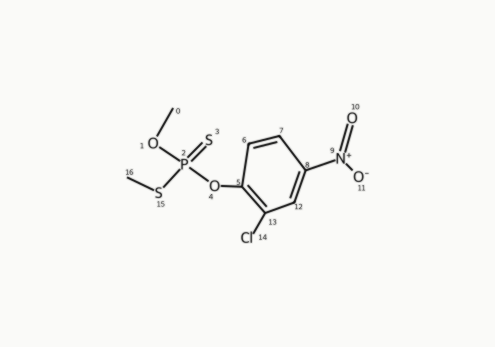 COP(=S)(Oc1ccc([N+](=O)[O-])cc1Cl)SC